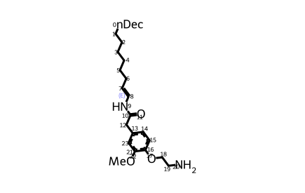 CCCCCCCCCCCCCCCC/C=C/NC(=O)Cc1ccc(OCCN)c(OC)c1